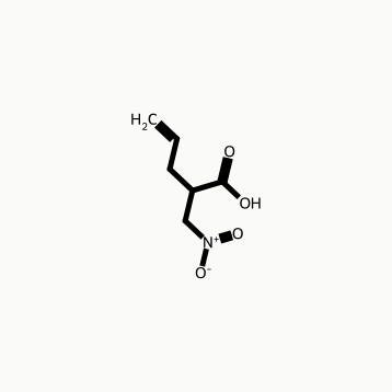 C=CCC(C[N+](=O)[O-])C(=O)O